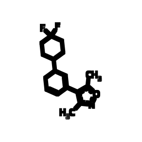 Cc1noc(C)c1C1=CC(C2CCC(F)(F)CC2)CC=C1